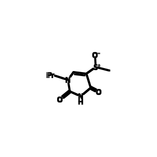 CC(C)n1cc([S+](C)[O-])c(=O)[nH]c1=O